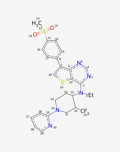 CCN(c1ncnc2c(-c3ccc(S(C)(=O)=O)cc3)csc12)C1CCN(c2ccccn2)CC1C(F)(F)F